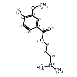 COc1cc(C(=O)OCCCN(C)C)ccc1O